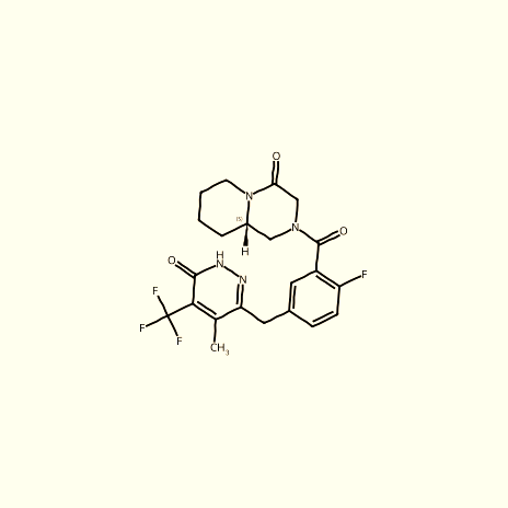 Cc1c(Cc2ccc(F)c(C(=O)N3CC(=O)N4CCCC[C@H]4C3)c2)n[nH]c(=O)c1C(F)(F)F